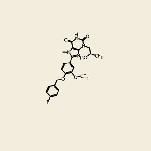 Cn1c(-c2ccc(OCc3ccc(F)cc3)c(OC(F)(F)F)c2)nc2c1c(=O)[nH]c(=O)n2CC(O)C(F)(F)F